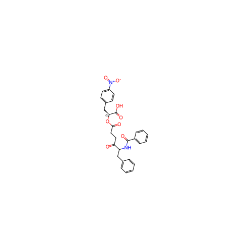 O=C(CCC(=O)C(Cc1ccccc1)NC(=O)c1ccccc1)O[C@@H](Cc1ccc([N+](=O)[O-])cc1)C(=O)O